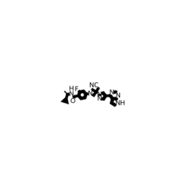 C[C@@H](NC(=O)c1ccc(N2CC(CC#N)(n3cc(-c4ncnc5[nH]ccc45)cn3)C2)cc1F)C1CC1